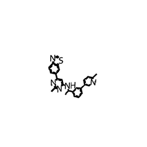 Cc1ccc(-c2cccc(C(C)Nc3cc(-c4ccc5ncsc5c4)nc(C)n3)c2)cn1